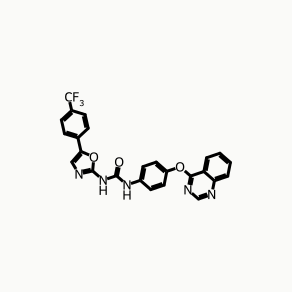 O=C(Nc1ccc(Oc2ncnc3ccccc23)cc1)Nc1ncc(-c2ccc(C(F)(F)F)cc2)o1